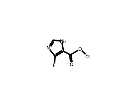 CCOC(=O)c1[nH]cnc1F